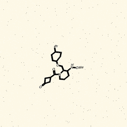 CONC1CCCN(C(=O)C2CC(=O)C2)C1COC1CCC(C(C)C)CC1